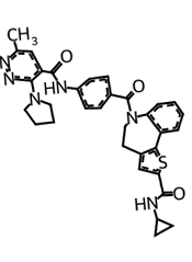 Cc1cc(C(=O)Nc2ccc(C(=O)N3CCc4cc(C(=O)NC5CC5)sc4-c4ccccc43)cc2)c(N2CCCC2)nn1